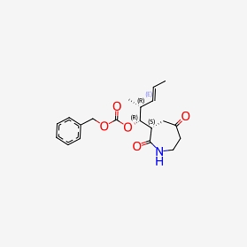 C/C=C/[C@@H](C)[C@@H](OC(=O)OCc1ccccc1)[C@@H]1CC(=O)CCNC1=O